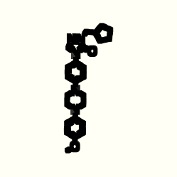 COc1ccc(N2CCN(c3ccc(-n4cnn(CC5CCCC5)c4=O)cc3)CC2)cc1